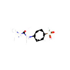 CCN(CC)C(=O)Nc1ccc(S(=O)(=O)Cl)cc1